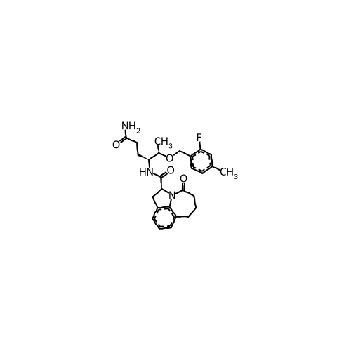 Cc1ccc(CO[C@H](C)[C@H](CCC(N)=O)NC(=O)[C@@H]2Cc3cccc4c3N2C(=O)CCC4)c(F)c1